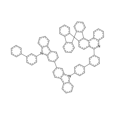 c1ccc(-c2cccc(-n3c4ccccc4c4ccc(-c5ccc6c7ccccc7n(-c7ccc(-c8cccc(-c9nc%10ccccc%10c%10c%11c(ccc9%10)C9(c%10ccccc%10-c%10ccccc%109)c9ccccc9-%11)c8)cc7)c6c5)cc43)c2)cc1